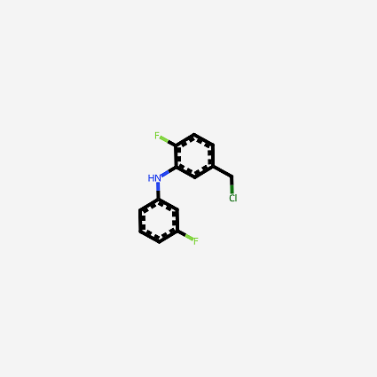 Fc1cccc(Nc2cc(CCl)ccc2F)c1